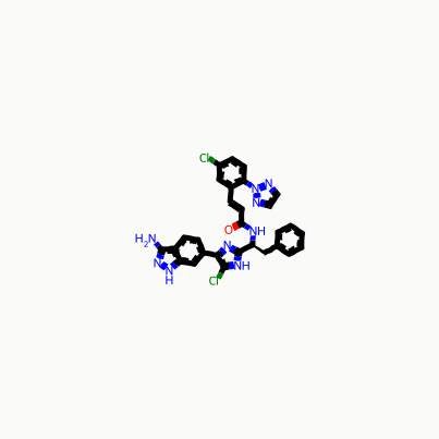 Nc1n[nH]c2cc(-c3nc([C@H](Cc4ccccc4)NC(=O)/C=C/c4cc(Cl)ccc4-n4nccn4)[nH]c3Cl)ccc12